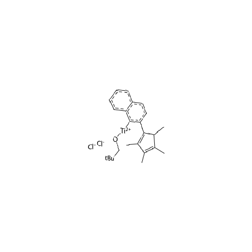 CC1=C(C)C(C)C(c2ccc3ccccc3[c]2[Ti+2][O]CC(C)(C)C)=C1C.[Cl-].[Cl-]